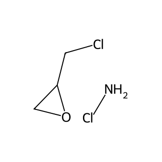 ClCC1CO1.NCl